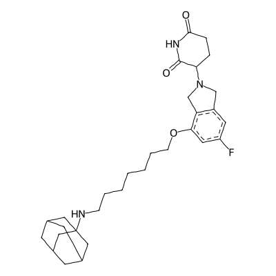 O=C1CCC(N2Cc3cc(F)cc(OCCCCCCCNC45CC6CC(CC(C6)C4)C5)c3C2)C(=O)N1